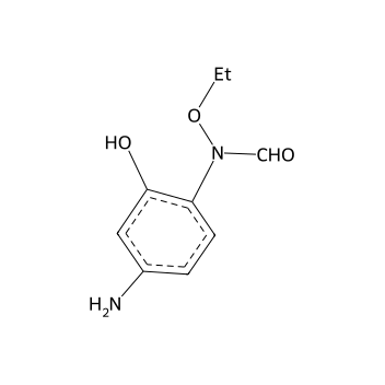 CCON(C=O)c1ccc(N)cc1O